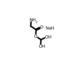 NCC(=O)OC(O)O.[NaH]